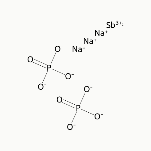 O=P([O-])([O-])[O-].O=P([O-])([O-])[O-].[Na+].[Na+].[Na+].[Sb+3]